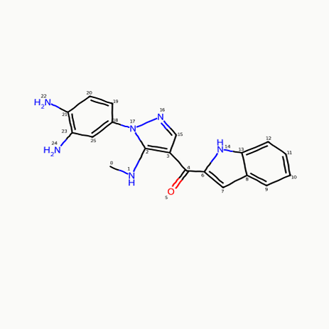 CNc1c(C(=O)c2cc3ccccc3[nH]2)cnn1-c1ccc(N)c(N)c1